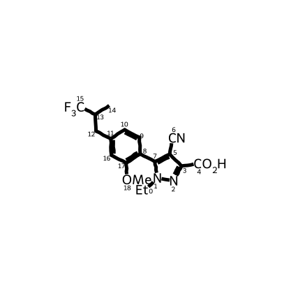 CCn1nc(C(=O)O)c(C#N)c1-c1ccc(CC(C)C(F)(F)F)cc1OC